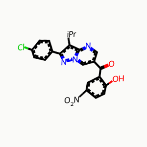 CC(C)c1c(-c2ccc(Cl)cc2)nn2cc(C(=O)c3cc([N+](=O)[O-])ccc3O)cnc12